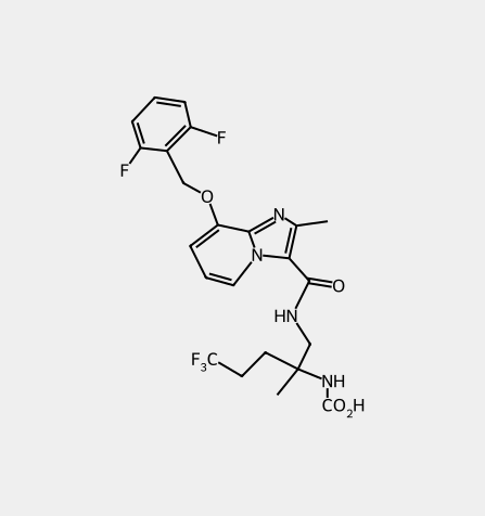 Cc1nc2c(OCc3c(F)cccc3F)cccn2c1C(=O)NCC(C)(CCC(F)(F)F)NC(=O)O